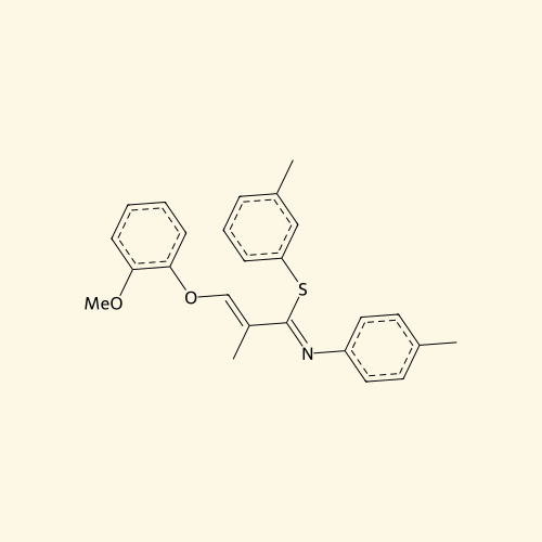 COc1ccccc1O/C=C(C)/C(=N/c1ccc(C)cc1)Sc1cccc(C)c1